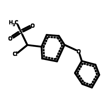 CS(=O)(=O)C(Cl)c1ccc(Oc2ccccc2)cc1